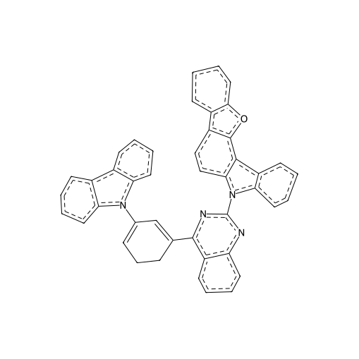 C1=C(c2nc(-n3c4ccccc4c4c5oc6ccccc6c5ccc43)nc3ccccc23)CCC=C1n1c2ccccc2c2ccccc21